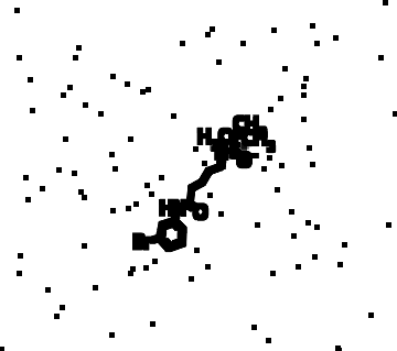 CC(C)(C)[S@+]([O-])/N=C/CCCC(=O)Nc1cccc(Br)c1